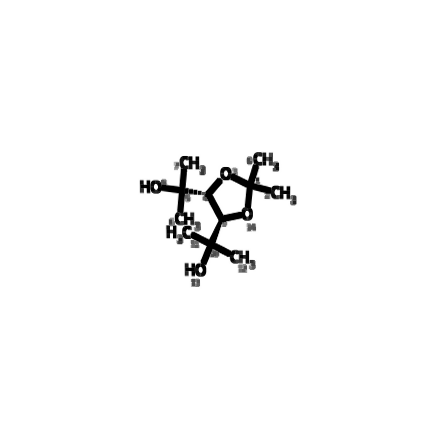 CC1(C)O[C@@H](C(C)(C)O)[C@H](C(C)(C)O)O1